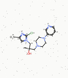 C[C@](O)(CN1CCN(c2cccnc2)CC1)Cn1cc([N+](=O)[O-])nc1Cl